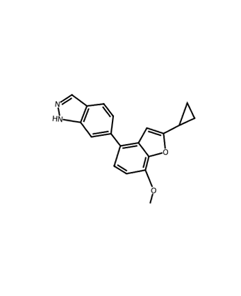 COc1ccc(-c2ccc3cn[nH]c3c2)c2cc(C3CC3)oc12